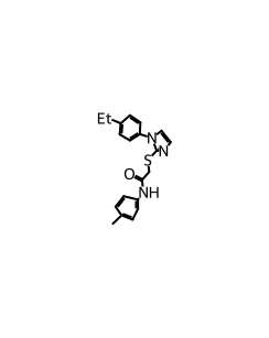 CCc1ccc(-n2ccnc2SCC(=O)Nc2ccc(C)cc2)cc1